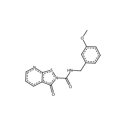 COc1cccc(CNC(=O)n2sc3ncccc3c2=O)c1